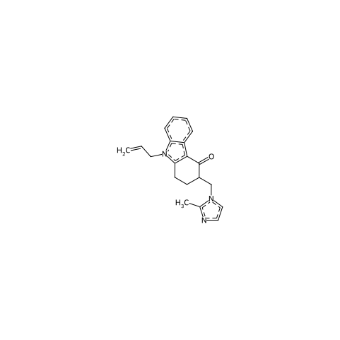 C=CCn1c2c(c3ccccc31)C(=O)C(Cn1ccnc1C)CC2